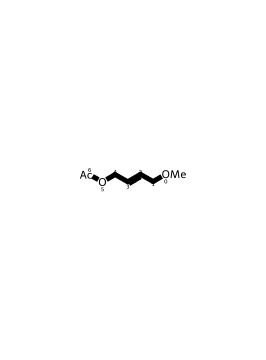 COCC=CCOC(C)=O